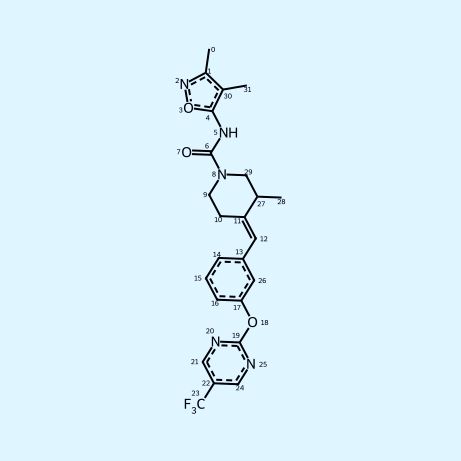 Cc1noc(NC(=O)N2CCC(=Cc3cccc(Oc4ncc(C(F)(F)F)cn4)c3)C(C)C2)c1C